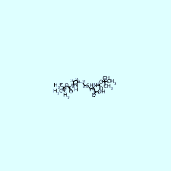 CC(C)(C)OC(=O)NC(CSCC[C@H]1CC[C@@H](C(=O)OC(C)(C)C)N1)C(=O)O